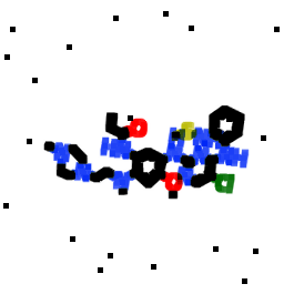 C=CC(=O)Nc1cc(Nc2ncc(Cl)c(Nc3ccccc3NSC)n2)c(OC)cc1N(C)CCN1CCN(C)CC1